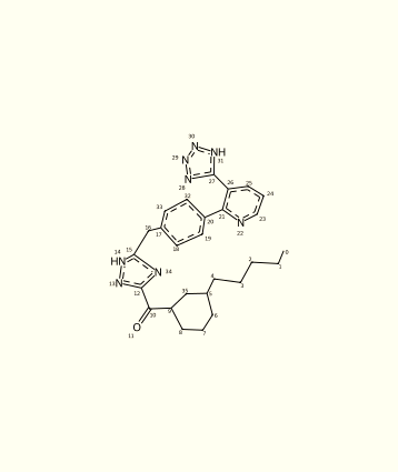 CCCCCC1CCCC(C(=O)c2n[nH]c(Cc3ccc(-c4ncccc4-c4nnn[nH]4)cc3)n2)C1